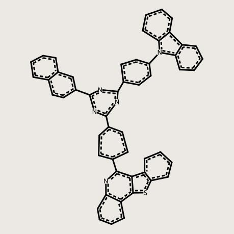 c1ccc2cc(-c3nc(-c4ccc(-c5nc6ccccc6c6sc7ccccc7c56)cc4)nc(-c4ccc(-n5c6ccccc6c6ccccc65)cc4)n3)ccc2c1